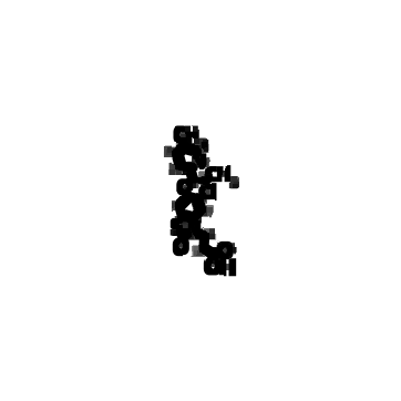 CC[C@@H](Oc1cc2sc(=O)n(CCC(=O)O)c2cc1Cl)c1ccc(C)cn1